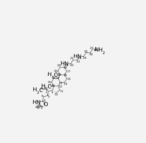 C=C[C@H](CCC(=O)NC(C)C)[C@H]1CCC2C3CCC4C[C@@H](NCCCNCCCCN)CC[C@]4(C)C3CC[C@@]21C